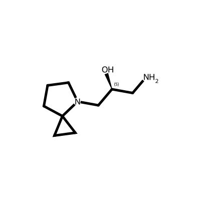 NC[C@H](O)CN1CCCC12CC2